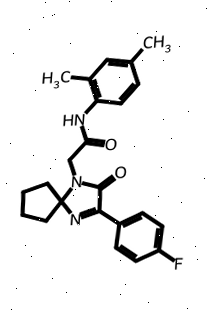 Cc1ccc(NC(=O)CN2C(=O)C(c3ccc(F)cc3)=NC23CCCC3)c(C)c1